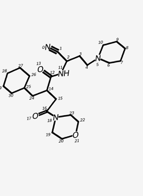 N#CC(CCN1CCCCC1)NC(=O)C(CC(=O)N1CCOCC1)CC1CCCCC1